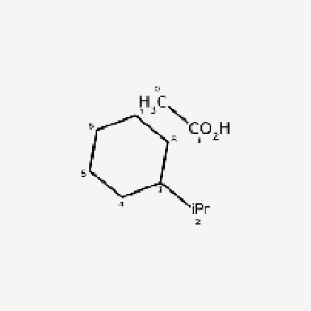 CC(=O)O.CC(C)C1CCCCC1